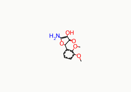 COc1cccc(C2OC(N)=C(O)C2=O)c1OC